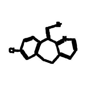 Clc1ccc2c(c1)CCc1cccnc1C2=CBr